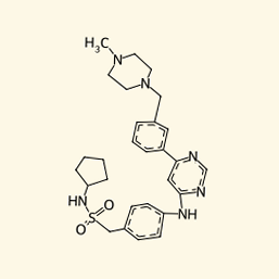 CN1CCN(Cc2cccc(-c3cc(Nc4ccc(CS(=O)(=O)NC5CCCC5)cc4)ncn3)c2)CC1